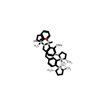 CC[C@@H]1CCC[PH]1(C)N(CCCc1ccc([PH]2(C)[C@@H](C)CC[C@@H]2C)c([PH]2(C)[C@@H](C)CC[C@@H]2C)c1)[PH](I)(c1ccccc1OC)c1ccccc1OC